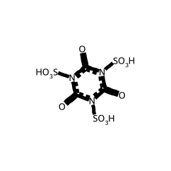 O=c1n(S(=O)(=O)O)c(=O)n(S(=O)(=O)O)c(=O)n1S(=O)(=O)O